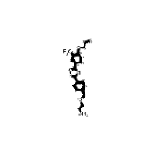 NCCOCc1ccc(-c2noc(-c3ccc(OCCF)c(C(F)(F)F)c3)n2)cc1